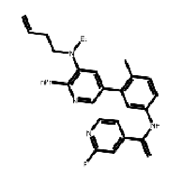 C=CCCN(CC)c1cc(-c2cc(NC(=C)c3ccnc(F)c3)ccc2C)cnc1CCC